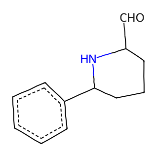 O=CC1CCCC(c2ccccc2)N1